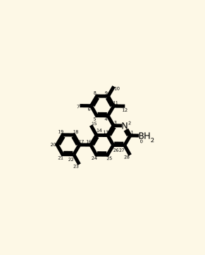 Bc1nc(-c2cc(C)cc(C)c2C)c2c(C)c(-c3ccccc3C)ccc2c1C